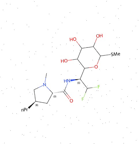 CCC[C@@H]1C[C@@H](C(=O)N[C@H](C(F)F)C2OC(SC)C(O)C(O)C2O)N(C)C1